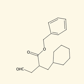 O=CCC(CC1CCCCC1)C(=O)OCc1ccccc1